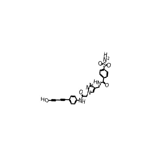 NS(=O)(=O)c1ccc(C(=O)NCc2cn(CC(=O)Nc3ccc(C#CC#CO)cc3)nn2)cc1